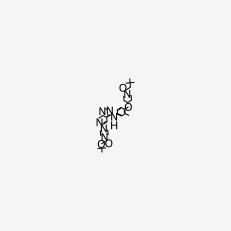 Cc1cc(Nc2ncnc3cnc(N4CCN(C(=O)OC(C)(C)C)CC4)cc23)ccc1OC1CCN(C(=O)CC(C)(C)C)CC1